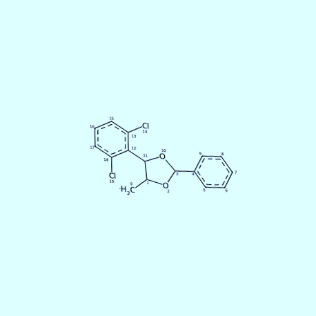 [CH2]C1OC(c2ccccc2)OC1c1c(Cl)cccc1Cl